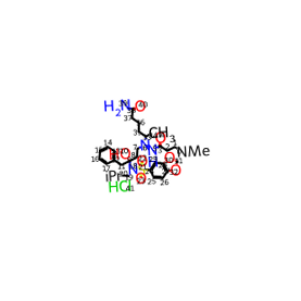 CNCCC(=O)NN(CCC(O)(Cc1ccccc1)N(CC(C)C)S(=O)(=O)c1ccc2c(c1)OCO2)C(C)CCCC(N)=O.Cl